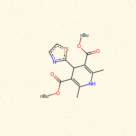 CCCCOC(=O)C1=C(C)NC(C)=C(C(=O)OCCCC)C1c1nccs1